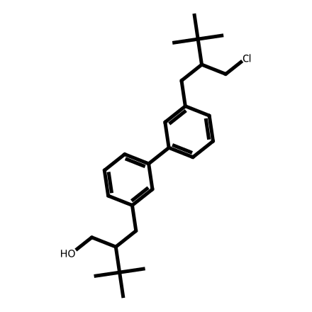 CC(C)(C)C(CO)Cc1cccc(-c2cccc(CC(CCl)C(C)(C)C)c2)c1